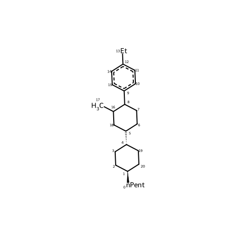 CCCCC[C@H]1CC[C@H](C2CCC(c3ccc(CC)cc3)C(C)C2)CC1